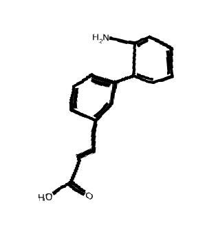 Nc1ccccc1-c1cccc(CCC(=O)O)c1